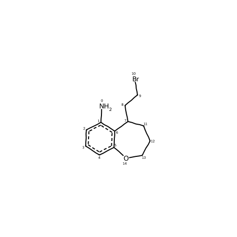 Nc1cccc2c1C(CCBr)CCCO2